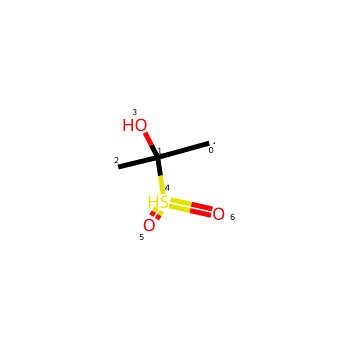 [CH2]C(C)(O)[SH](=O)=O